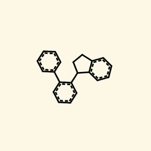 c1ccc(-c2ccccc2C2CCc3ccccc32)cc1